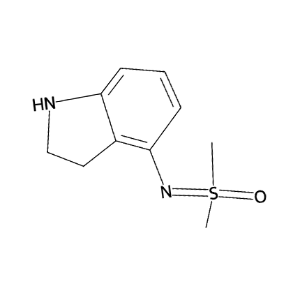 CS(C)(=O)=Nc1cccc2c1CCN2